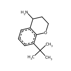 CC(C)(C)c1cccc2c1OCCC2N